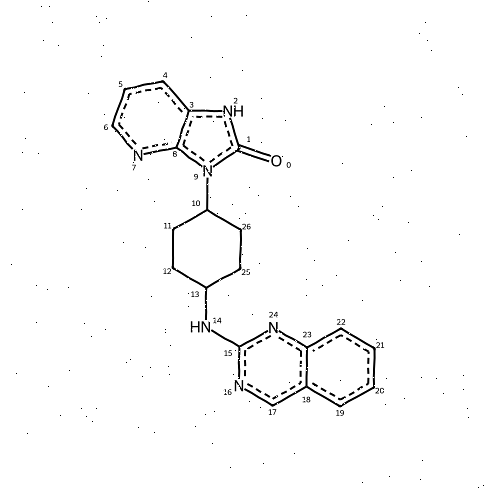 O=c1[nH]c2cccnc2n1C1CCC(Nc2ncc3ccccc3n2)CC1